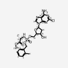 Cc1ccccc1CO[P@](=O)(N[C@@H](C)C(=O)OC(C)C)OCC1OC(n2cnc3c(N)nc(Cl)nc32)CC1O